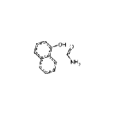 NC=O.Oc1cccc2ccccc12